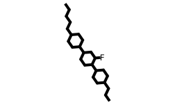 CCCCCC1CCC(C2CCC(C3CCC(CCC)CC3)C(F)C2)CC1